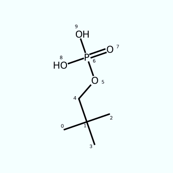 CC(C)(C)COP(=O)(O)O